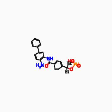 CCC(CC)(O[PH](=O)O)c1ccc(C(=O)Nc2cc(-c3ccccc3)ccc2N)cc1